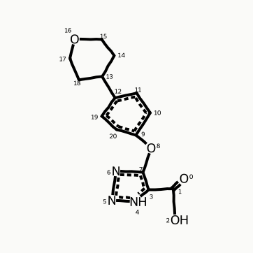 O=C(O)c1[nH]nnc1Oc1ccc(C2CCOCC2)cc1